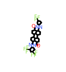 O=c1c2ccc3c4ccc5c6c(ccc(c7ccc(c2c73)c2nc3ccc(C(F)(F)F)cc3n12)c46)c(=O)n1c2cc(C(F)(F)F)cc(C(F)(F)F)c2nc51